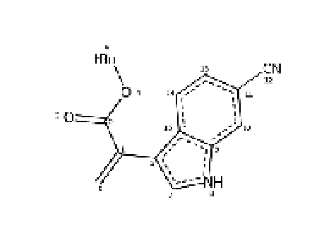 C=C(C(=O)OC(C)(C)C)c1c[nH]c2cc(C#N)ccc12